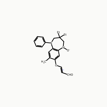 CCC1(CC)CN(c2ccccc2)c2cc(C)c(O/C=C/C=O)cc2[S+]([O-])C1